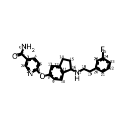 NC(=O)c1ccc(Oc2ccc3c(c2)CCC3NCCc2cccc(F)c2)nc1